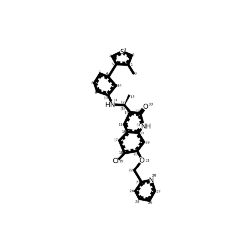 Cc1cscc1-c1cccc(N[C@@H](C)c2cc3cc(Cl)c(OCc4ccccn4)cc3[nH]c2=O)c1